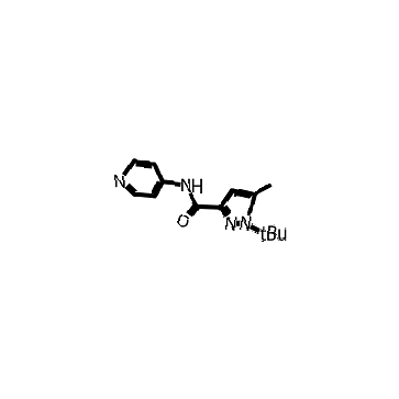 Cc1cc(C(=O)Nc2ccncc2)nn1C(C)(C)C